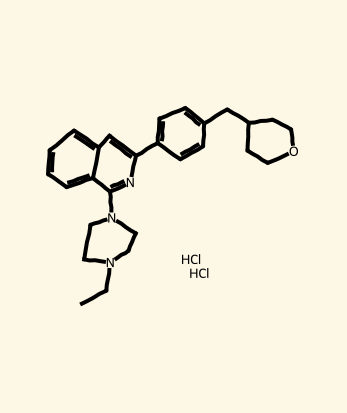 CCN1CCN(c2nc(-c3ccc(CC4CCOCC4)cc3)cc3ccccc23)CC1.Cl.Cl